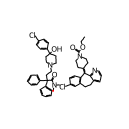 CCOC(=O)N1CCC(=C2c3ccc(Cl)cc3CCc3cccnc32)CC1.CN(C)C(=O)C(CCN1CCC(O)(c2ccc(Cl)cc2)CC1)(c1ccccc1)c1ccccc1